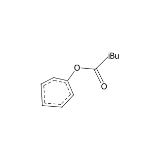 [CH2]C(CC)C(=O)Oc1ccccc1